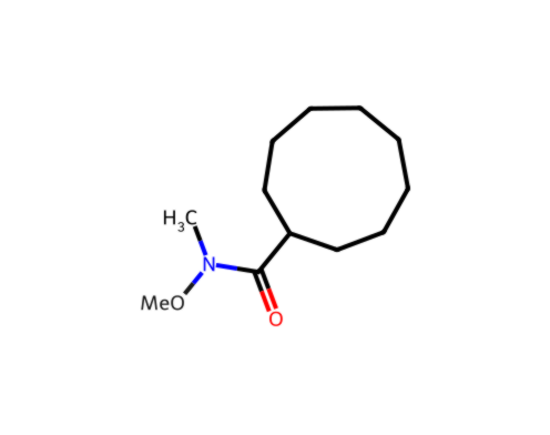 CON(C)C(=O)C1CCCCCCCC1